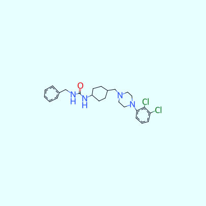 O=C(NCc1ccccc1)NC1CCC(CN2CCN(c3cccc(Cl)c3Cl)CC2)CC1